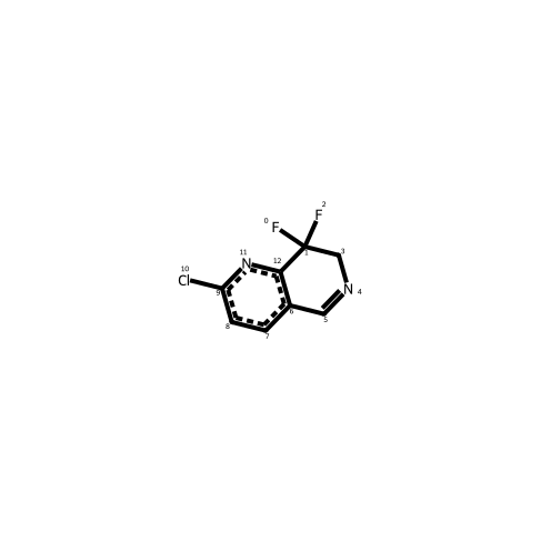 FC1(F)CN=Cc2ccc(Cl)nc21